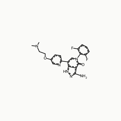 CN(C)CCOc1ccc(-c2cn(-c3c(F)cccc3F)c(=O)c3c(N)n[nH]c23)nc1